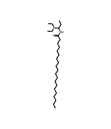 CCCCCCCCCCCCCCCCCCCC(=O)NC(CC)N(CC)CC